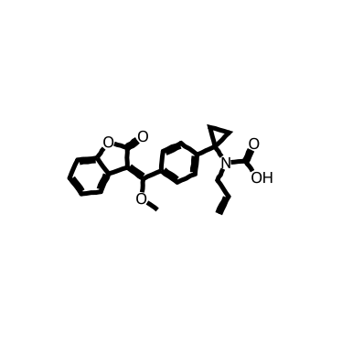 C=CCN(C(=O)O)C1(c2ccc(C(OC)=C3C(=O)Oc4ccccc43)cc2)CC1